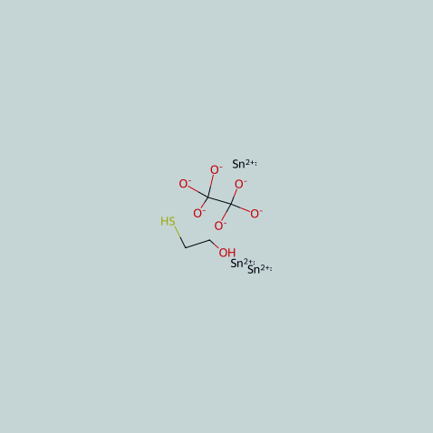 OCCS.[O-]C([O-])([O-])C([O-])([O-])[O-].[Sn+2].[Sn+2].[Sn+2]